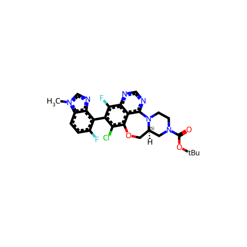 Cn1cnc2c(-c3c(Cl)c4c5c(ncnc5c3F)N3CCN(C(=O)OC(C)(C)C)C[C@H]3CO4)c(F)ccc21